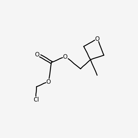 CC1(COC(=O)OCCl)COC1